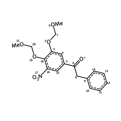 COCOc1cc(C(=O)Cc2ccccc2)cc([N+](=O)[O-])c1OCOC